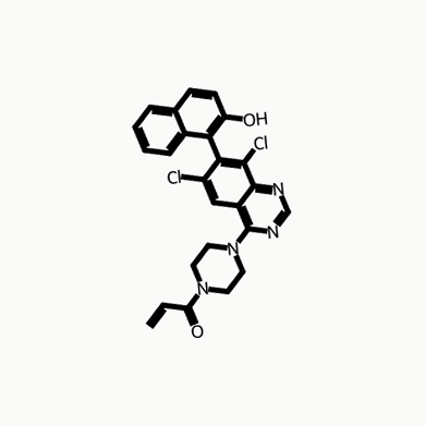 C=CC(=O)N1CCN(c2ncnc3c(Cl)c(-c4c(O)ccc5ccccc45)c(Cl)cc23)CC1